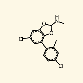 CNC1Oc2cc(Cl)cc(-c3ccc(Cl)cc3C)c2O1